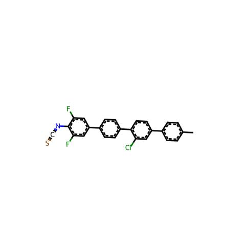 Cc1ccc(-c2ccc(-c3ccc(-c4cc(F)c(N=C=S)c(F)c4)cc3)c(Cl)c2)cc1